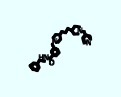 O=C(NCCc1ccccc1)c1cccc(CN2CCC(CCCC3CCN(Cc4ccncc4)CC3)CC2)c1